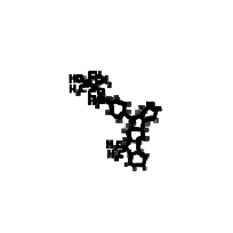 CC1(C)c2ccccc2-c2cc3c4ccncc4n(-c4ccc(BOC(C)(C)C(C)(C)O)cc4)c3cc21